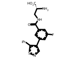 CC(C)c1sncc1-c1cc(F)cc(C(=O)NC[C@@H](N)C(=O)O)c1